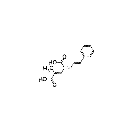 CC(=CC(=CC=Cc1ccccc1)C(=O)O)C(=O)O